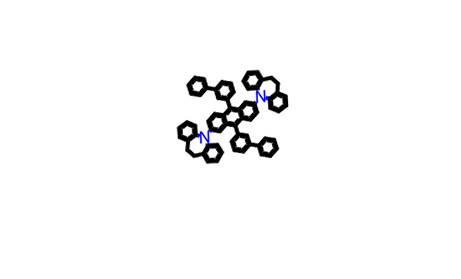 c1ccc(-c2cccc(-c3c4ccc(N5c6ccccc6CCc6ccccc65)cc4c(-c4cccc(-c5ccccc5)c4)c4ccc(N5c6ccccc6CCc6ccccc65)cc34)c2)cc1